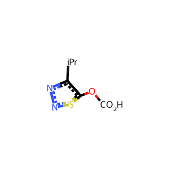 CC(C)c1nnsc1OC(=O)O